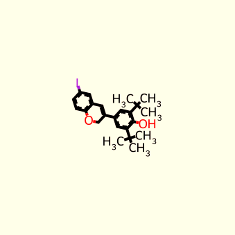 CC(C)(C)c1cc(C2=Cc3cc(I)ccc3OC2)cc(C(C)(C)C)c1O